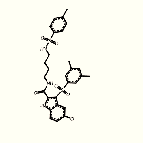 Cc1ccc(S(=O)(=O)NCCCCNC(=O)c2[nH]c3ccc(Cl)cc3c2S(=O)(=O)c2cc(C)cc(C)c2)cc1